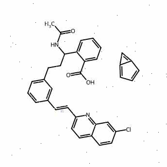 CC(=O)NC(CCc1cccc(/C=C/c2ccc3ccc(Cl)cc3n2)c1)c1ccccc1C(=O)O.c1cc2cc-2c1